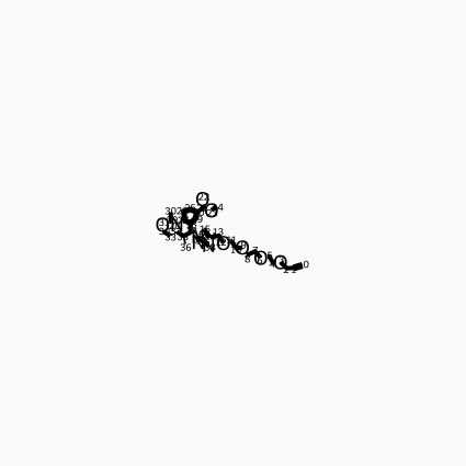 C#CCOCCOCCOCCOCc1cn([C@H]2c3cc(C(=O)OC)ccc3N(C(C)=O)[C@@H](CC)[C@@H]2C)nn1